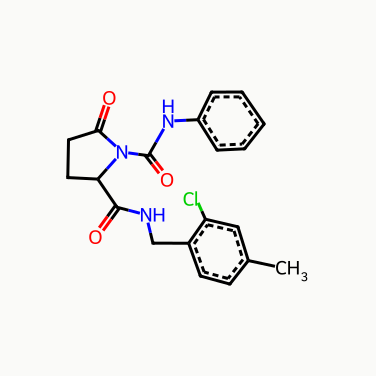 Cc1ccc(CNC(=O)C2CCC(=O)N2C(=O)Nc2ccccc2)c(Cl)c1